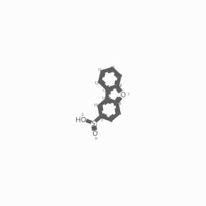 O=S(O)c1ccc2oc3ccccc3c2c1